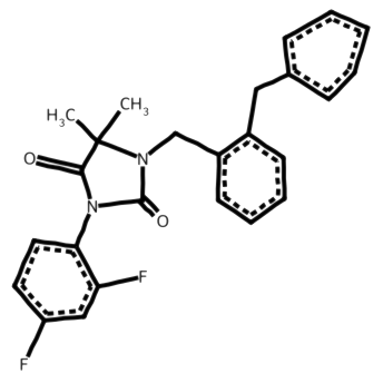 CC1(C)C(=O)N(c2ccc(F)cc2F)C(=O)N1Cc1ccccc1Cc1ccccc1